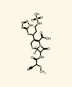 CSC(C#N)C(=O)NC1C(=O)N2C(C(=O)O)=C(C(CCNS(=O)(=O)O)Sc3nnn[nH]3)CS[C@@H]12